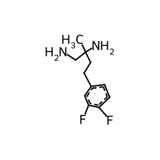 CC(N)(CN)CCc1ccc(F)c(F)c1